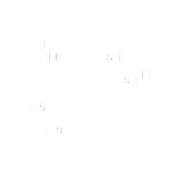 I.I.I.I.NCCCN.NCCCN